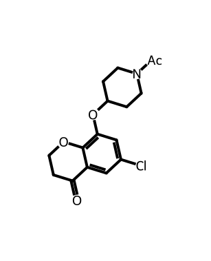 CC(=O)N1CCC(Oc2cc(Cl)cc3c2OCCC3=O)CC1